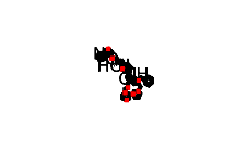 O=C(NC1CCN(C[C@@H](O)COc2cccc3ncccc23)CC1)C(CCCc1ccccc1)(CCCc1ccccc1)CCCc1ccccc1